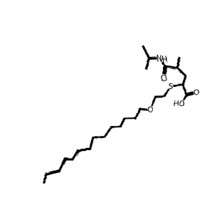 CCCCCCCCCCCCCCOCCSC(CC(C)C(=O)NC(C)C)C(=O)O